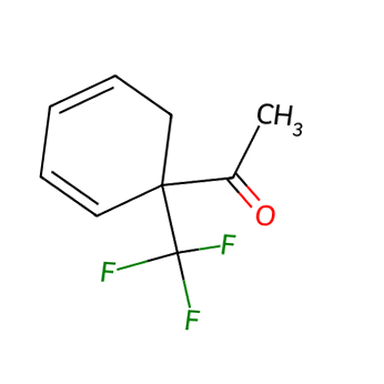 CC(=O)C1(C(F)(F)F)C=CC=CC1